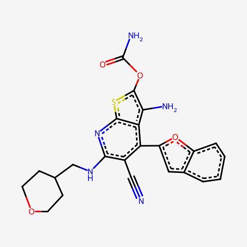 N#Cc1c(NCC2CCOCC2)nc2sc(OC(N)=O)c(N)c2c1-c1cc2ccccc2o1